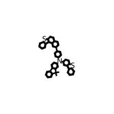 CC1(C)c2ccccc2-c2ccc(N(c3ccc(-c4ccc5ccc6sc7ccccc7c6c5c4)cc3)c3ccc4sc5ccccc5c4c3)cc21